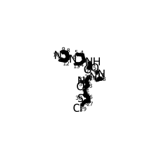 O=C(NC1CCN(c2ccncc2)CC1)Oc1nccn1Cc1cc(-c2ccc(Cl)s2)on1